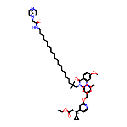 CCOC(=O)C[C@H](c1ccnc(OCC2CCN(c3cc(OC)ccc3C(=O)N(CC(C)(C)CCCCCCCCCCCCCCCCCCNC(=O)C[N+]34CCN(CC3)CC4)c3cccc(C)n3)CC2)c1)C1CC1